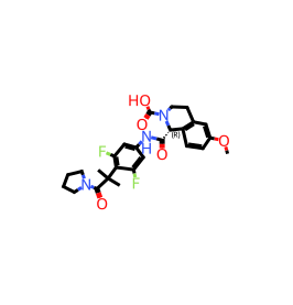 COc1ccc2c(c1)CCN(C(=O)O)[C@H]2C(=O)Nc1cc(F)c(C(C)(C)C(=O)N2CCCC2)c(F)c1